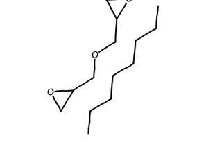 C(OCC1CO1)C1CO1.CCCCCCCC